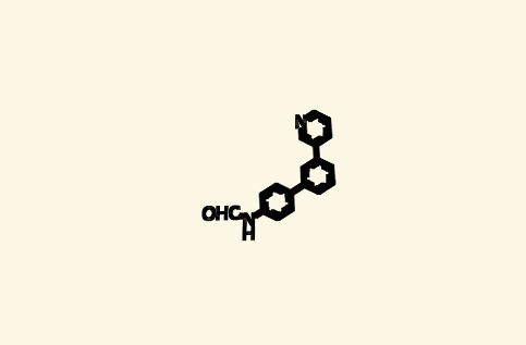 O=CNc1ccc(-c2cccc(-c3cccnc3)c2)cc1